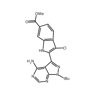 COC(=O)c1ccc2c(Cl)c(-c3nn(C(C)(C)C)c4ncnc(N)c34)[nH]c2c1